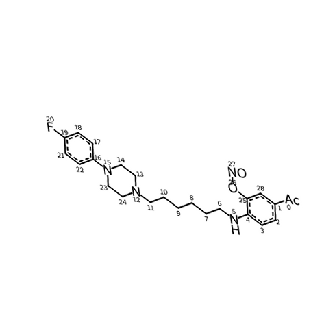 CC(=O)c1ccc(NCCCCCCN2CCN(c3ccc(F)cc3)CC2)c(ON=O)c1